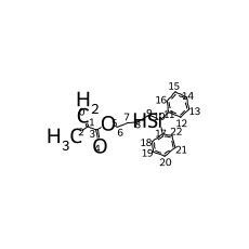 C=C(C)C(=O)OCCCC[SiH](c1ccccc1)c1ccccc1